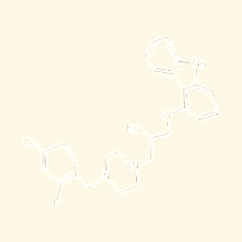 OC(COc1cccc2[nH]c3ccccc3c12)CN1CCN(Cc2ccc(Br)cc2F)CC1